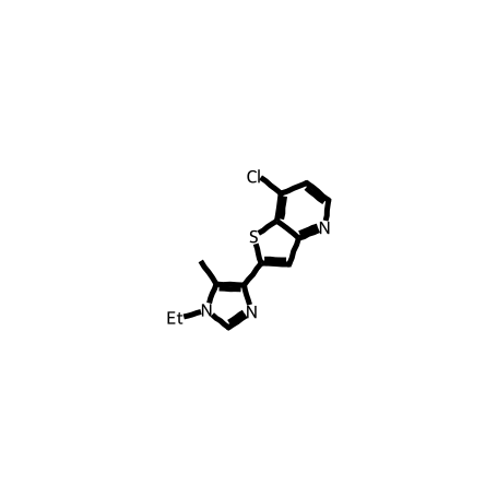 CCn1cnc(-c2cc3nccc(Cl)c3s2)c1C